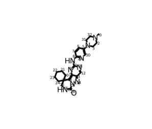 CN1CCN(c2ccc(Nc3ncc4nn5c(c4n3)C3(CCCCC3)CNC5=O)nc2)CC1